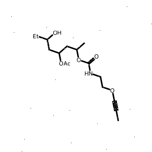 CC#COCCNC(=O)OC(C)CC(CC(O)CC)OC(C)=O